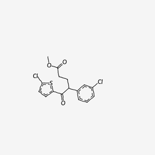 COC(=O)CCC(C(=O)c1ccc(Cl)s1)c1cccc(Cl)c1